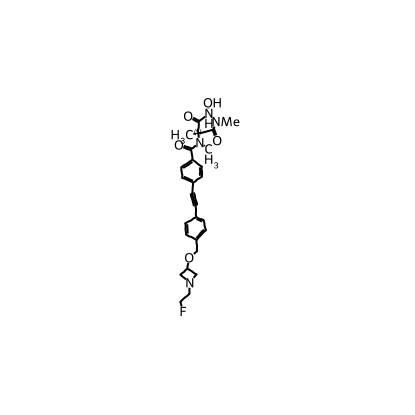 CNC(=O)[C@@](C)(C(=O)NO)N(C)C(=O)c1ccc(C#Cc2ccc(COC3CN(CCF)C3)cc2)cc1